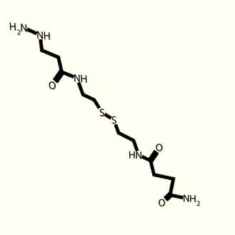 NNCCC(=O)NCCSSCCNC(=O)CCC(N)=O